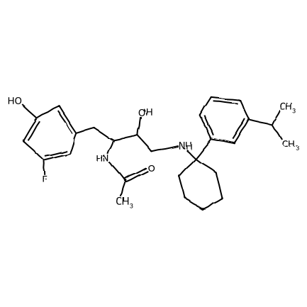 CC(=O)NC(Cc1cc(O)cc(F)c1)C(O)CNC1(c2cccc(C(C)C)c2)CCCCC1